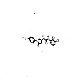 Cc1ccc(N2CC(NC(=O)Nc3cccc(Cl)c3Cl)CC2=O)cc1